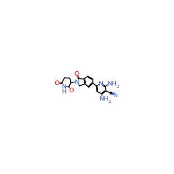 N#Cc1c(N)cc(-c2ccc3c(c2)CN(C2CCC(=O)NC2=O)C3=O)nc1N